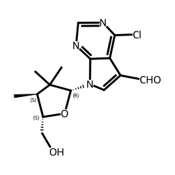 C[C@@H]1[C@@H](CO)O[C@@H](n2cc(C=O)c3c(Cl)ncnc32)C1(C)C